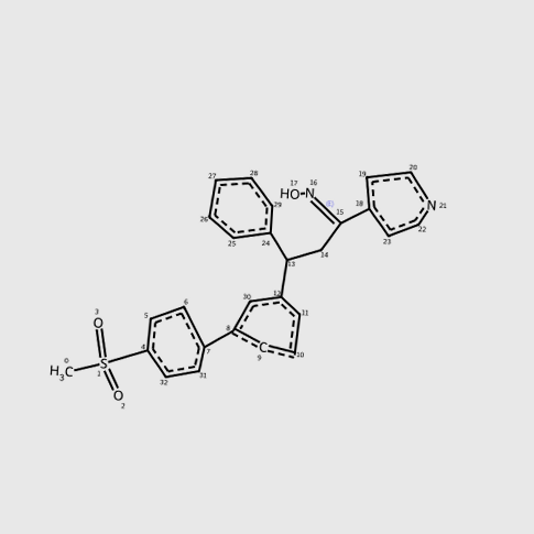 CS(=O)(=O)c1ccc(-c2cccc(C(C/C(=N\O)c3ccncc3)c3ccccc3)c2)cc1